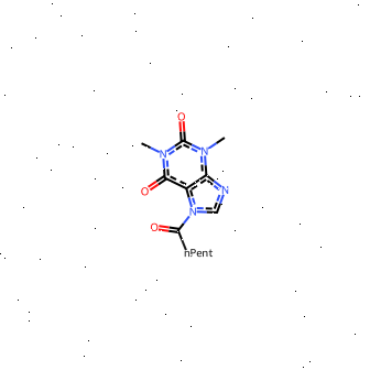 CCCCCC(=O)n1cnc2c1c(=O)n(C)c(=O)n2C